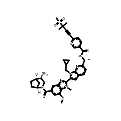 COc1cc(C(=O)N2C[C@H](N)[C@@H]3CC[C@H]2C3)cc2nc(-c3cc4ccc([C@@H](C)NC(=O)c5ccc(C#CC(C)(C)S(C)(=O)=O)nc5)nc4n3CC3CC3)n(C)c12